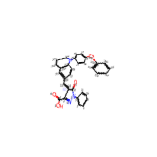 O=C(O)C1=NN(c2ccccc2)C(=O)/C1=C\c1ccc2c(c1)CCCN2c1ccc(Oc2ccccc2)cc1